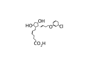 O=C(O)CCC/C=C\C[C@@H]1[C@@H](/C=C/CCOC2=CC(Cl)CC=C2)[C@H](O)C[C@@H]1O